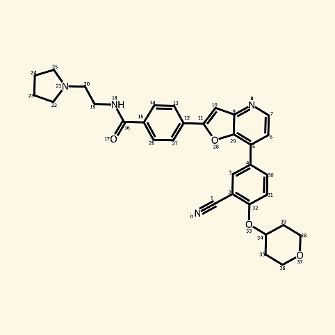 N#Cc1cc(-c2ccnc3cc(-c4ccc(C(=O)NCCN5CCCC5)cc4)oc23)ccc1OC1CCOCC1